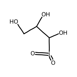 O=I(=O)C(O)C(O)CO